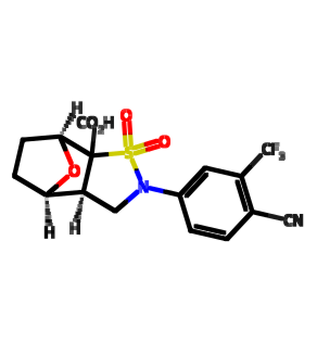 N#Cc1ccc(N2C[C@H]3[C@H]4CC[C@H](O4)C3(C(=O)O)S2(=O)=O)cc1C(F)(F)F